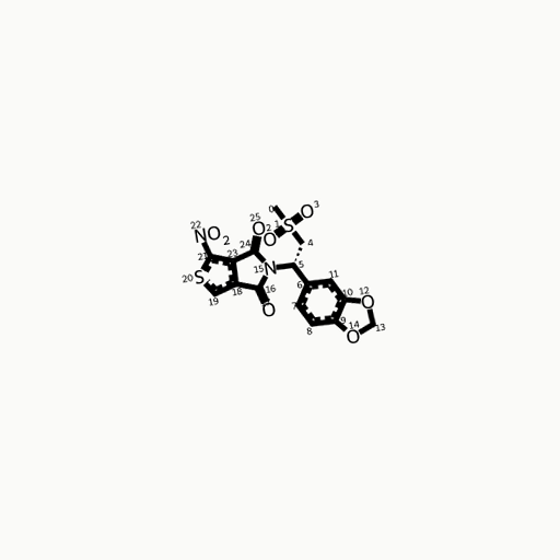 CS(=O)(=O)C[C@H](c1ccc2c(c1)OCO2)N1C(=O)c2csc([N+](=O)[O-])c2C1=O